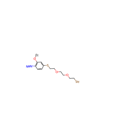 CCOc1cc(SCCOCCOCCS)ccc1[N+]#N